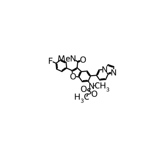 CNC(=O)c1c(-c2ccc(F)cc2)oc2cc(N(C)S(C)(=O)=O)c(-c3ccc4nccn4c3)cc12